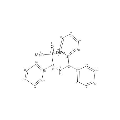 COP(=O)(OC)[C@H](NC(c1ccccc1)c1ccccc1)c1ccccc1